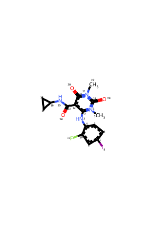 Cn1c(Nc2ccc(I)cc2F)c(C(=O)NC2CC2)c(=O)n(C)c1=O